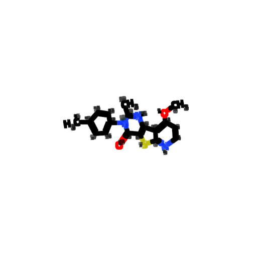 COc1ccnc2sc3c(=O)n(-c4ccc(C)cc4)c(C)nc3c12